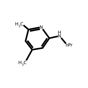 CCCNc1cc(C)cc(C)n1